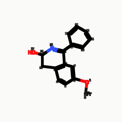 CCCOc1ccc2c(c1)C(c1ccccc1)=NC(O)C2